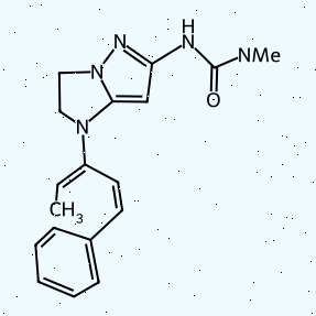 C/C=C(\C=C/c1ccccc1)N1CCn2nc(NC(=O)NC)cc21